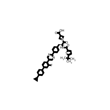 CC(C)(C)c1ccc(C(=O)N[C@@H](Cc2ccc(-c3ncc(-c4ccc(-c5ccc(C6CC6)cc5)cc4F)cn3)cc2)C(=O)N2CC(C(=O)O)C2)s1